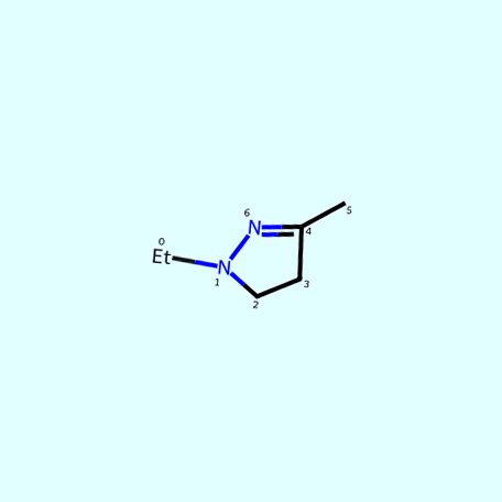 CCN1CCC(C)=N1